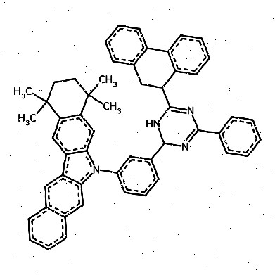 CC1(C)CCC(C)(C)c2cc3c(cc21)c1cc2ccccc2cc1n3-c1cccc(C2N=C(c3ccccc3)N=C(C3Cc4ccccc4-c4ccccc43)N2)c1